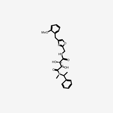 COc1ccccc1Cc1coc(CNC(=O)[C@H](O)[C@@H](O)C(=O)N(C)C(C)c2ccccc2)n1